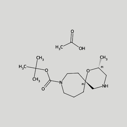 CC(=O)O.C[C@@H]1CNC[C@]2(CCCN(C(=O)OC(C)(C)C)CC2)O1